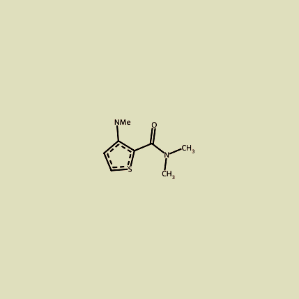 CNc1ccsc1C(=O)N(C)C